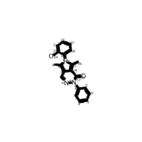 Cc1c2cnn(-c3ccccc3)c(=O)c2c(C)n1-c1ccccc1Cl